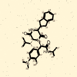 CC(C)C[C@@H]1C(=O)NC(C2Cc3ccccc3C2)C(=O)N1[C@@H](C(=O)NC(C)C)c1ccc(N(C)C)c(F)c1